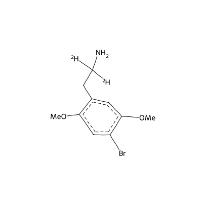 [2H]C([2H])(N)Cc1cc(OC)c(Br)cc1OC